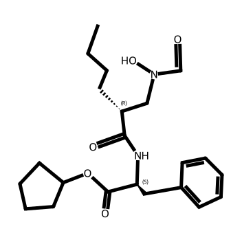 CCCC[C@H](CN(O)C=O)C(=O)N[C@@H](Cc1ccccc1)C(=O)OC1CCCC1